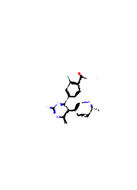 COC(=O)c1ccc(-c2nc(N)nc(C)c2-c2ccc(C)nc2)cc1Cl